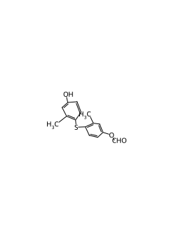 Cc1cc(O)ccc1Sc1ccc(OC=O)cc1C